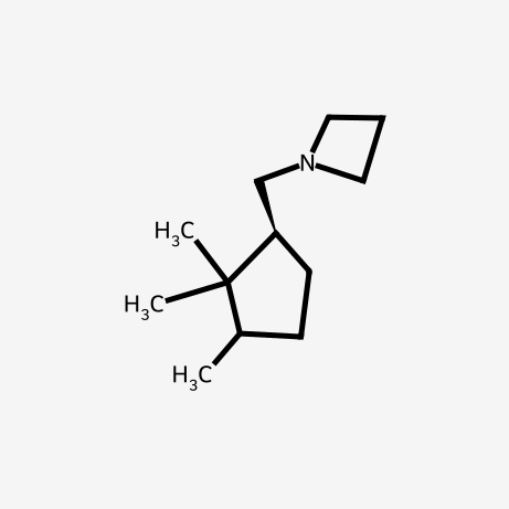 CC1CC[C@H](CN2CCC2)C1(C)C